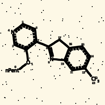 CCCCCOc1cnccc1C1=Nc2cc(C(F)(F)F)ccc2C1